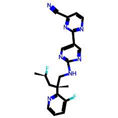 C[C@@H](F)C[C@](C)(CNc1ncc(-c2nccc(C#N)n2)cn1)c1ncccc1F